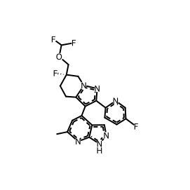 Cc1cc(-c2c(-c3ccc(F)cn3)nn3c2CC[C@@](F)(COC(F)F)C3)c2cn[nH]c2n1